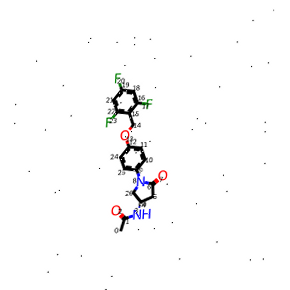 CC(=O)N[C@H]1CC(=O)N(c2ccc(OCc3c(F)cc(F)cc3F)cc2)C1